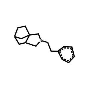 c1ccc(CCN2CC3CC4CCC3(C4)C2)cc1